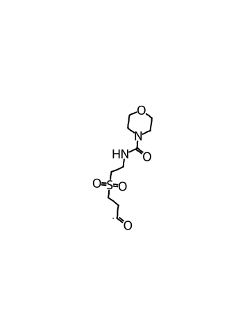 O=[C]CCS(=O)(=O)CCNC(=O)N1CCOCC1